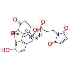 O=C1CC[C@@]2(O)[C@H]3Cc4ccc(O)c5c4C2(CCN3C(=O)CCN2C(=O)C=CC2=O)[C@H]1O5